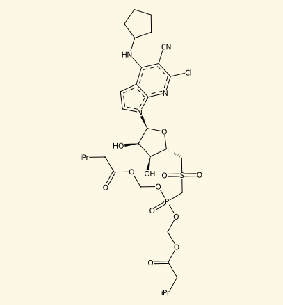 CC(C)CC(=O)OCOP(=O)(CS(=O)(=O)C[C@H]1O[C@H](n2ccc3c(NC4CCCC4)c(C#N)c(Cl)nc32)[C@H](O)[C@@H]1O)OCOC(=O)CC(C)C